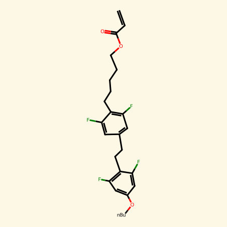 C=CC(=O)OCCCCCc1c(F)cc(CCc2c(F)cc(OCCCC)cc2F)cc1F